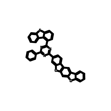 c1ccc(-c2nc(-c3ccc4c(c3)oc3cc5oc6ccccc6c5cc34)nc(-c3cccc4sc5ccccc5c34)n2)cc1